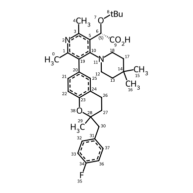 Cc1nc(C)c([C@H](OC(C)(C)C)C(=O)O)c(N2CCC(C)(C)CC2)c1-c1ccc2c(c1)CCC(C)(Cc1ccc(F)cc1)O2